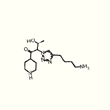 C[C@H](O)C(C(=O)C1CCNCC1)n1cc(CCCCN)nn1